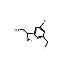 NC(CO)c1cc(F)cc(CF)c1